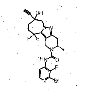 C#C[C@@]1(O)CCC(F)(F)c2c3c(nn2C1)C[C@@H](C)N(C(=O)Nc1ccnc(Br)c1F)C3